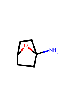 NC12CCC(CC1)O2